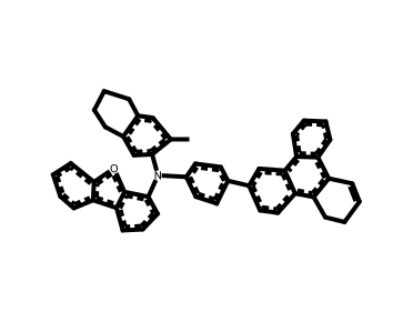 Cc1cc2c(cc1N(c1ccc(-c3ccc4c5c(c6ccccc6c4c3)C=CCC5)cc1)c1cccc3c1oc1ccccc13)CCCC2